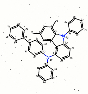 Cc1cc(C)c2c(c1)c1c(N(c3ccccc3)c3ccc(-c4ccccc4)cc3)cccc1n2-c1ccccc1